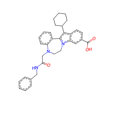 O=C(CN1CCn2c(c(C3CCCCC3)c3ccc(C(=O)O)cc32)-c2ccccc21)NCc1ccccc1